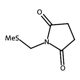 CSCN1C(=O)CCC1=O